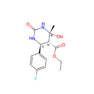 CCOC(=O)[C@@H]1[C@@H](c2ccc(F)cc2)NC(=O)N[C@]1(C)O